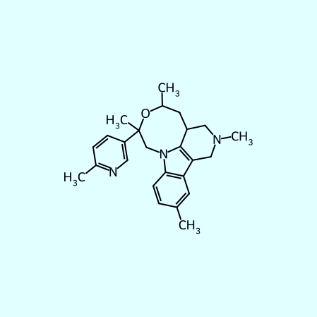 Cc1ccc2c(c1)c1c3n2CC(C)(c2ccc(C)nc2)OC(C)CC3CN(C)C1